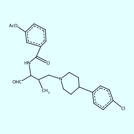 CC(=O)Oc1cccc(C(=O)NC(C=O)C(C)CN2CCC(c3ccc(Cl)cc3)CC2)c1